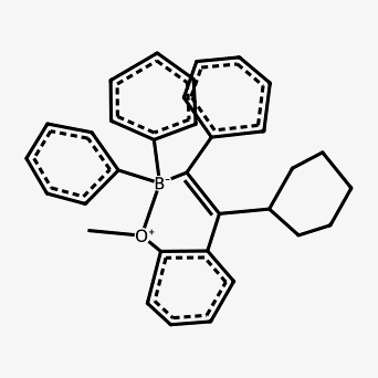 C[O+]1c2ccccc2C(C2CCCCC2)=C(c2ccccc2)[B-]1(c1ccccc1)c1ccccc1